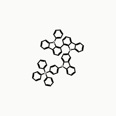 c1ccc(-n2c3ccccc3c3cccc(-c4cccc5c6ccccc6n(-c6ccc7c(c6)c6ccccc6n7-c6ccc([Si](c7ccccc7)(c7ccccc7)c7ccccc7)cc6)c45)c32)cc1